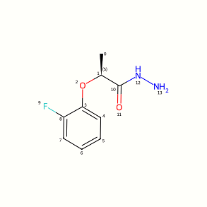 C[C@H](Oc1ccccc1F)C(=O)NN